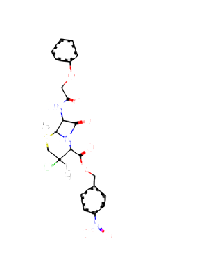 CC1(Cl)CS[C@H]2C(NC(=O)COc3ccccc3)C(=O)N2C1C(=O)OCc1ccc([N+](=O)[O-])cc1